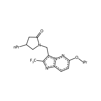 CCCC1CC(=O)N(Cc2c(C(F)(F)F)nc3ccc(OC(C)C)nn23)C1